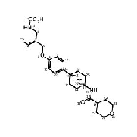 O=C(O)NCC(=CF)COc1ccc(C23CCC(NC(=O)C4CCOCC4)(CC2)CC3)cc1